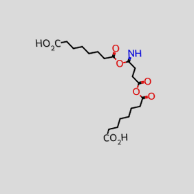 N=C(CCC(=O)OC(=O)CCCCCCC(=O)O)OC(=O)CCCCCCC(=O)O